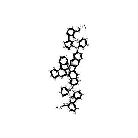 CCc1cccc2c1oc1c(N(c3ccccc3)c3ccc4cc5c(cc4c3)C3(c4cc6cc(N(c7ccccc7)c7cccc8c7oc7c(CC)cccc78)ccc6cc4-5)c4ccccc4-c4c3ccc3ccccc43)cccc12